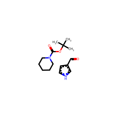 CC(C)(C)OC(=O)N1CCCCC1.O=Cc1cc[nH]c1